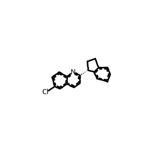 Clc1ccc2nc([C@@H]3CCc4ccccc43)ccc2c1